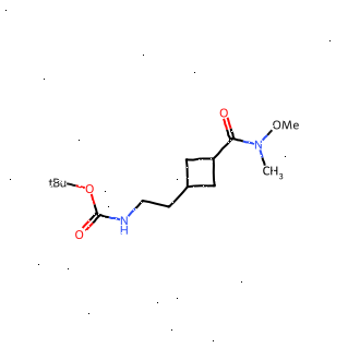 CON(C)C(=O)C1CC(CCNC(=O)OC(C)(C)C)C1